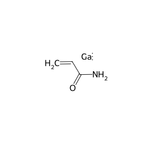 C=CC(N)=O.[Ga]